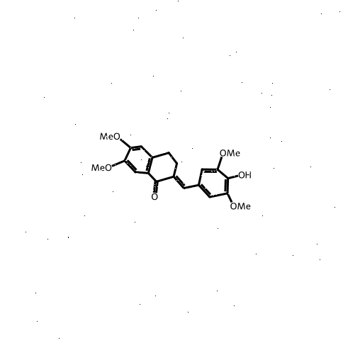 COc1cc2c(cc1OC)C(=O)C(=Cc1cc(OC)c(O)c(OC)c1)CC2